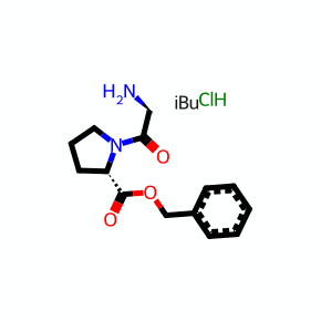 CC[C@H](C)[C@H](N)C(=O)N1CCC[C@H]1C(=O)OCc1ccccc1.Cl